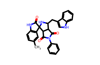 Cc1ccc2c(c1)C1(NC(Cc3c[nH]c4ccccc34)C3C(=O)N(c4ccccc4)C(=O)C31)C(=O)N2